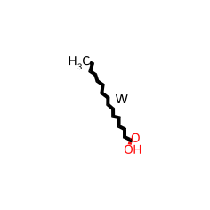 CCCCCCCCCCCCCCCC(=O)O.[W]